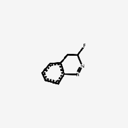 FC1Cc2ccccc2N=N1